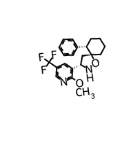 COc1ncc(C(F)(F)F)cc1[C@@H]1C[C@@]2(CCCC[C@H]2c2ccccc2)ON1